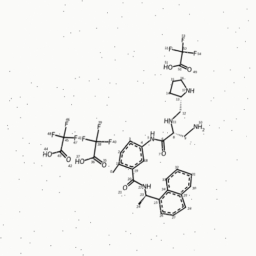 Cc1ccc(NC(=O)[C@@H](CN)NC[C@@H]2CCCN2)cc1C(=O)N[C@H](C)c1cccc2ccccc12.O=C(O)C(F)(F)F.O=C(O)C(F)(F)F.O=C(O)C(F)(F)F